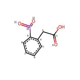 O=C(O)Cc1ccccc1I(=O)=O